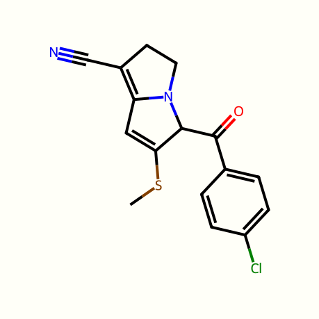 CSC1=CC2=C(C#N)CCN2C1C(=O)c1ccc(Cl)cc1